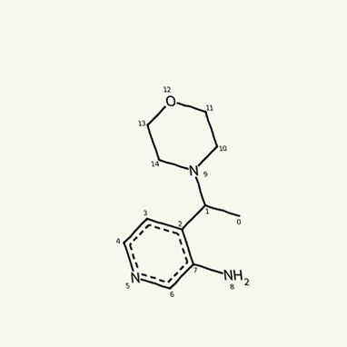 CC(c1ccncc1N)N1CCOCC1